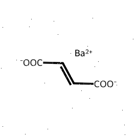 O=C([O-])/C=C/C(=O)[O-].[Ba+2]